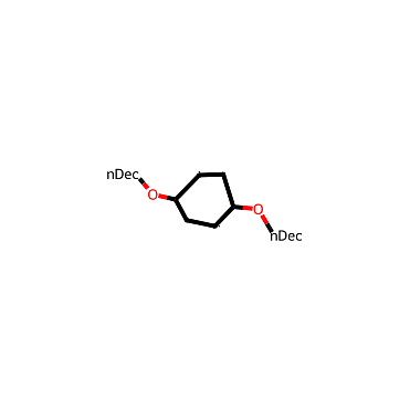 CCCCCCCCCCOC1[CH]CC(OCCCCCCCCCC)[CH]C1